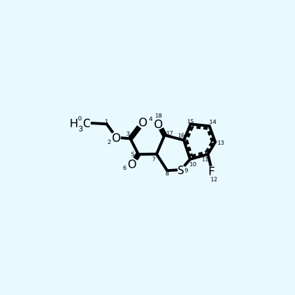 CCOC(=O)C(=O)C1CSc2c(F)cccc2C1=O